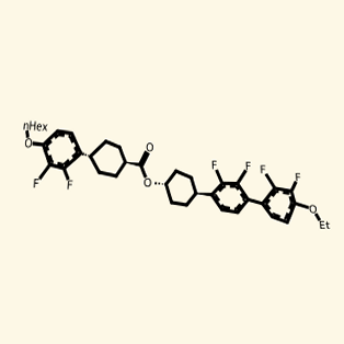 CCCCCCOc1ccc([C@H]2CC[C@H](C(=O)O[C@H]3CC[C@H](c4ccc(-c5ccc(OCC)c(F)c5F)c(F)c4F)CC3)CC2)c(F)c1F